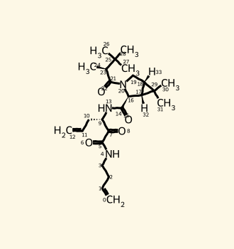 C=CCCNC(=O)C(=O)[C@H](CC=C)NC(=O)[C@@H]1[C@@H]2[C@H](CN1C(=O)[C@@H](C)C(C)(C)C)C2(C)C